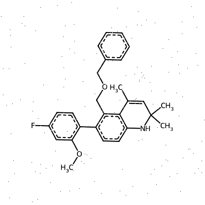 COc1cc(F)ccc1-c1ccc2c(c1COCc1ccccc1)C(C)=CC(C)(C)N2